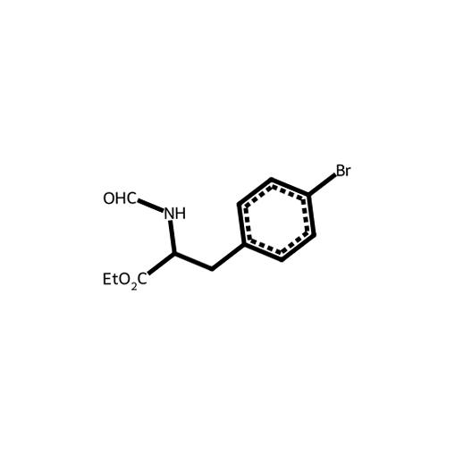 CCOC(=O)C(Cc1ccc(Br)cc1)NC=O